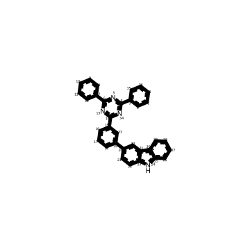 c1ccc(-c2nc(-c3ccccc3)nc(-c3cccc(-c4ccc5[nH]c6ccccc6c5c4)c3)n2)cc1